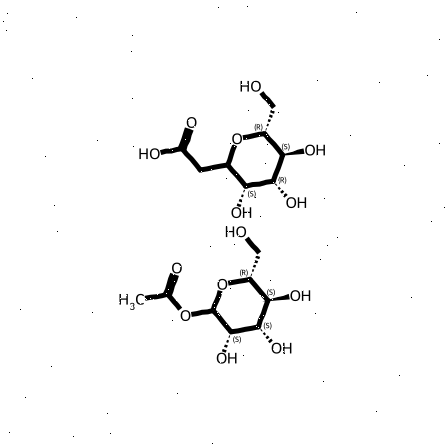 CC(=O)OC1O[C@H](CO)[C@@H](O)[C@H](O)[C@@H]1O.O=C(O)CC1O[C@H](CO)[C@@H](O)[C@H](O)[C@@H]1O